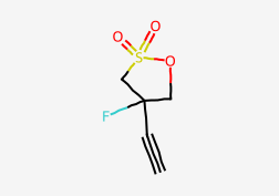 C#CC1(F)COS(=O)(=O)C1